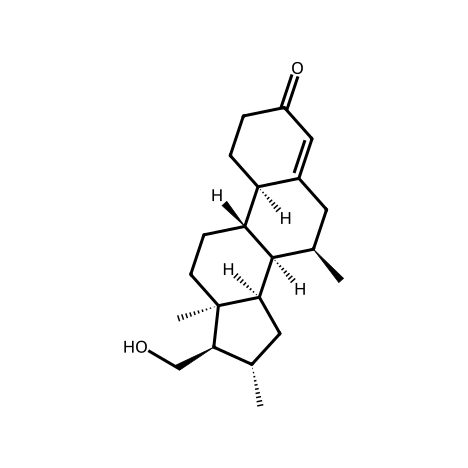 C[C@@H]1CC2=CC(=O)CC[C@@H]2[C@H]2CC[C@@]3(C)[C@H](C[C@H](C)[C@H]3CO)[C@@H]21